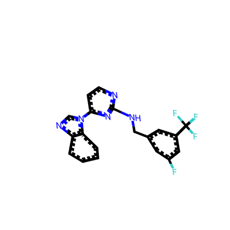 Fc1cc(CNc2nccc(-n3cnc4ccccc43)n2)cc(C(F)(F)F)c1